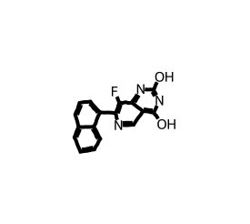 Oc1nc(O)c2cnc(-c3cccc4ccccc34)c(F)c2n1